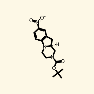 CC(C)(C)OC(=O)N1CCN2c3ccc([N+](=O)[O-])cc3C[C@H]2C1